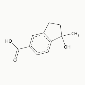 CC1(O)CCc2cc(C(=O)O)ccc21